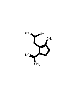 C=C(C)C1CCC(C)=C1CC(C=O)C(C)C